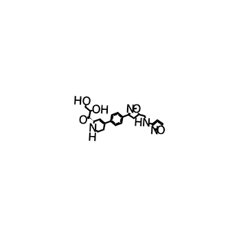 O=C(C(O)CO)[C@@H]1C=C(c2ccc(C3=NOC(CNc4ccon4)C3)cc2)CCN1